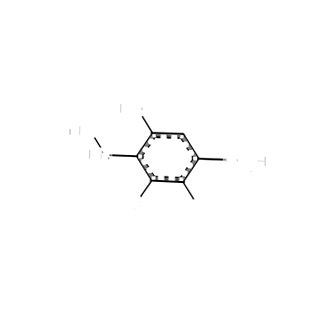 CCCNc1c(O)cc(C(=O)O)c(CC)c1O